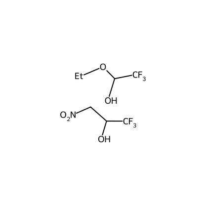 CCOC(O)C(F)(F)F.O=[N+]([O-])CC(O)C(F)(F)F